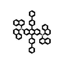 C1=C(c2ccccc2)CCC(c2c3cc(N(c4cccc5ccccc45)c4cccc5ccccc45)ccc3c(-c3ccc(-c4ccccc4)cc3)c3cc(N(c4cccc5ccccc45)c4cccc5ccccc45)ccc23)=C1